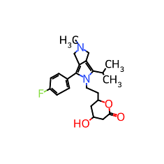 CC(C)c1c2c(c(-c3ccc(F)cc3)n1CCC1CC(O)CC(=O)O1)CN(C)C2